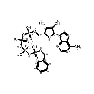 Nc1ncnc2c1ncn2[C@@H]1O[C@H](COP(=O)(O)OP(=O)(O)OP(=O)(O)OP(=O)(O)OCc2ccccc2)[C@H](O)C1O